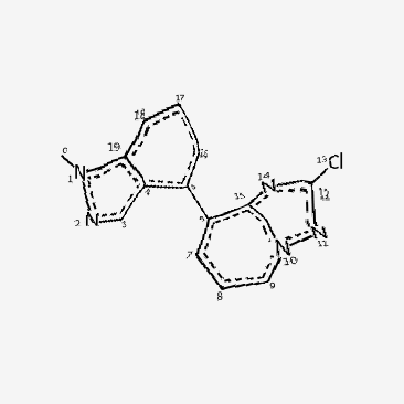 Cn1ncc2c(-c3cccn4nc(Cl)nc34)cccc21